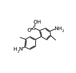 Cc1cc(-c2cc(C)c(N)cc2S(=O)O)ccc1N